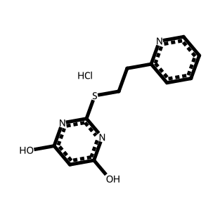 Cl.Oc1cc(O)nc(SCCc2ccccn2)n1